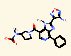 CN(C(=O)O)C1CCN(C(=O)c2cnc(-c3ccccc3)c3nc(-c4nonc4N)n(C)c23)C1